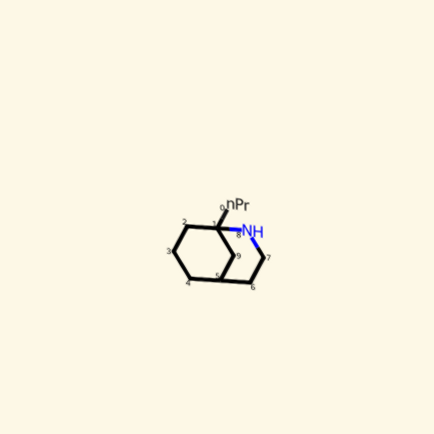 CCCC12CCCC(CCN1)C2